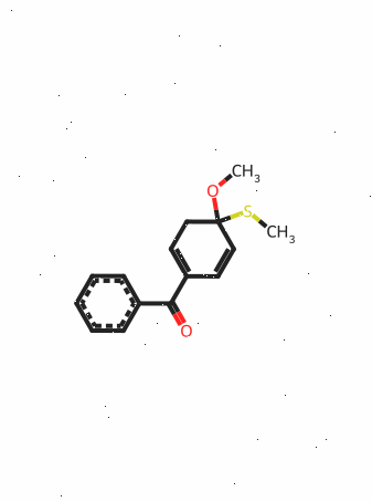 COC1(SC)C=CC(C(=O)c2ccccc2)=CC1